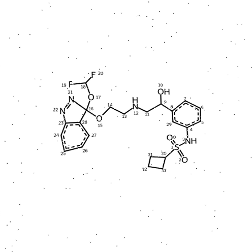 O=S(=O)(Nc1cccc(C(O)CNCCOC2(OC(F)F)N=Nc3ccccc32)c1)C1CCC1